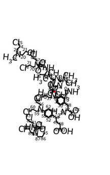 C1CN1.CN(C)c1nc(N(C)C)nc(N(C)C)n1.CN(CCCl)CCCl.N[C@@H](Cc1ccc(N(CCCl)CCCl)cc1)C(=O)O.O=C(O)CCCc1ccc(N(CCCl)CCCl)cc1.O=P1(N(CCCl)CCCl)NCCCO1.O=P1(NCCCl)OCCCN1CCCl